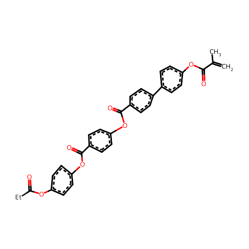 C=C(C)C(=O)Oc1ccc(-c2ccc(C(=O)Oc3ccc(C(=O)Oc4ccc(OC(=O)CC)cc4)cc3)cc2)cc1